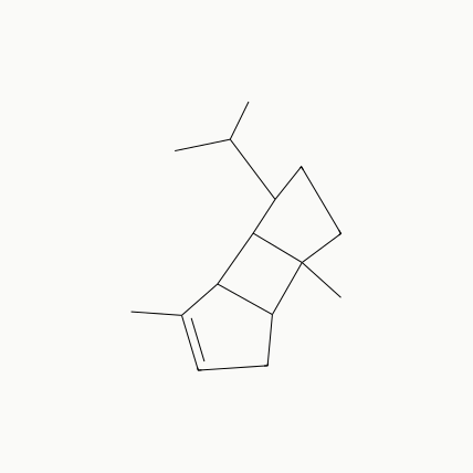 CC1=CCC2C1C1C(C(C)C)CCC21C